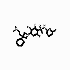 CN(C)CCC1(c2ccccc2)CN(c2cc(F)c(S(=O)(=O)Nc3cccc(F)n3)c(F)c2Cl)C1